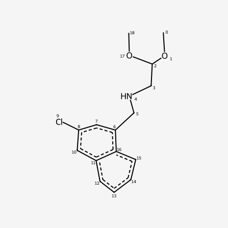 COC(CNCc1cc(Cl)cc2ccccc12)OC